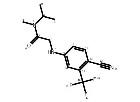 CC(C)N(C)C(=O)CNc1ccc(C#N)c(C(F)(F)F)c1